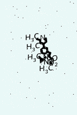 CCOC(=O)c1cc2cc(-c3ccnc(CC)c3C)ccc2n1C1(N)CC1C